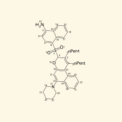 CCCCCC1=C(CCCCC)C(S(=O)(=O)c2ccc(N)c3ccccc23)Oc2cc(N3CCCCC3)c3ccccc3c21